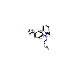 CCCn1c2ccccc2c2cc(-c3cnco3)ccc21